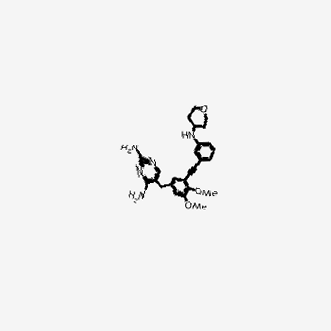 COc1cc(Cc2cnc(N)nc2N)cc(C#Cc2cccc(NC3CCOCC3)c2)c1OC